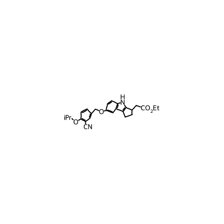 CCOC(=O)CC1CCc2c1[nH]c1ccc(OCc3ccc(OC(C)C)c(C#N)c3)cc21